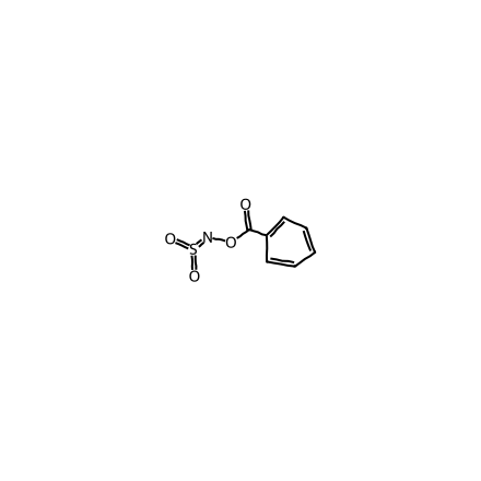 O=C(ON=S(=O)=O)c1ccccc1